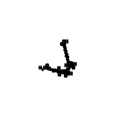 CC(=O)COCCOCCNC(=O)CC[C@H](NC(=O)CC[C@H](NC(=O)CCCCCCCCCCCCC(=O)O)C(=O)O)C(=O)O